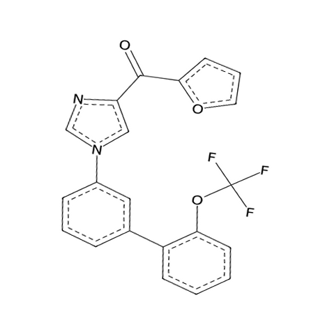 O=C(c1cn(-c2cccc(-c3ccccc3OC(F)(F)F)c2)cn1)c1ccco1